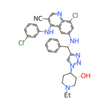 CCN1CC[C@@H](n2cc([C@@H](Nc3cc(Cl)c4ncc(C#N)c(Nc5cccc(Cl)c5)c4c3)c3ccccc3)nn2)[C@H](O)C1